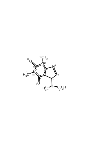 C[C@H](C(=O)O)C1C=Nc2c1c(=O)n(C)c(=O)n2C